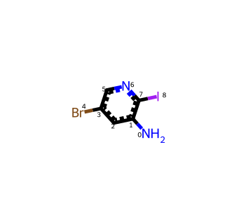 Nc1cc(Br)cnc1I